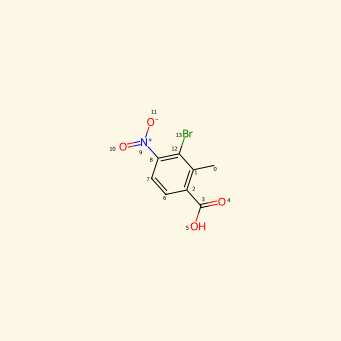 Cc1c(C(=O)O)ccc([N+](=O)[O-])c1Br